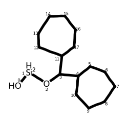 O[SiH2]OC(C1CCCCCC1)C1CCCCCC1